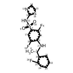 C[C@H](Nc1cc(F)c(S(=O)(=O)Nc2nccs2)cc1F)c1ccccc1F